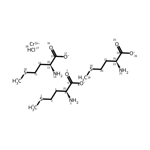 CSCC[C@H](N)C(=O)[O-].CSCC[C@H](N)C(=O)[O-].CSCC[C@H](N)C(=O)[O-].Cl.[Cr+3]